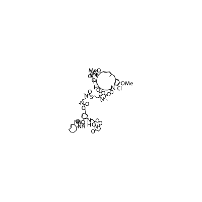 COc1cc2cc(c1Cl)N(C)C(=O)C[C@H](OC(=O)[C@H](C)N(C)C(=O)CCSC(=O)N(C)CCN(C)C(=O)OCc1ccc(OC(=O)NC3CCCC/C=C/[C@@H]3N)c(NCC(=O)ON3C(=O)CCC3=O)c1)[C@]1(C)O[C@H]1[C@H](C)[C@@H]1C[C@@](O)(NC(=O)O1)[C@H](OC)/C=C/C=C(\C)C2